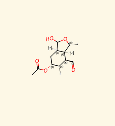 CC(=O)O[C@@H]1C[C@H]2C(O)O[C@H](C)[C@H]2[C@@H](C=O)[C@@H]1C